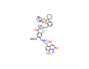 COc1cc(C(=O)N(C)CCCc2cccc(C3(C(=O)O[C@H]4CN5CCC4CC5)CCCCC3)c2)c(Cl)cc1CNC[C@H](O)c1ccc(O)c2[nH]c(=O)ccc12